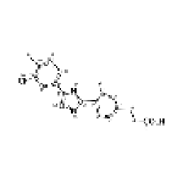 Cc1cc(CCC(=O)O)ccc1-c1noc(-c2cnc(C)c(Cl)c2)n1